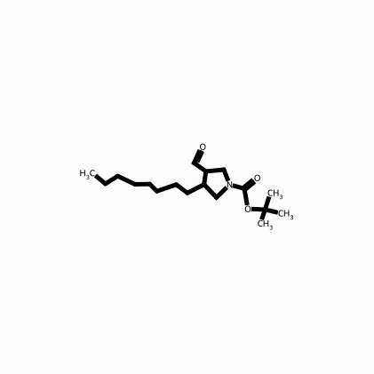 CCCCCCCCC1CN(C(=O)OC(C)(C)C)CC1C=O